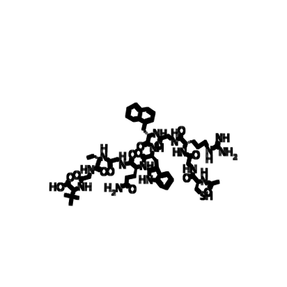 CC[C@H](NC(=O)CNC(=O)[C@H](CCC(N)=O)NC(=O)[C@H](Cc1c[nH]c2ccccc12)NC(=O)[C@H](Cc1cccc2ccccc12)NC(=O)CNC(=O)[C@H](CCCNC(=N)N)NC(=O)CNC(=O)[C@H](CS)NC(C)=O)C(=O)NCC(=O)NC(C(=O)O)C(C)(C)C